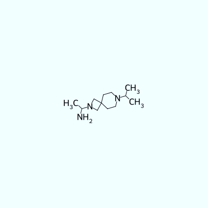 CC(C)N1CCC2(CC1)CN(C(C)N)C2